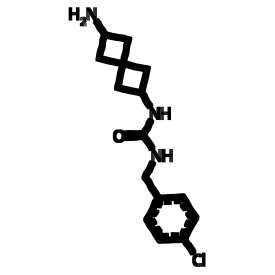 NC1CC2(C1)CC(NC(=O)NCc1ccc(Cl)cc1)C2